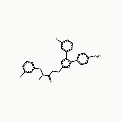 CCOC(=O)c1ccc(-n2nc(CCC(=O)N(C)Cc3cccc(F)c3)cc2-c2cccc(F)c2)cc1